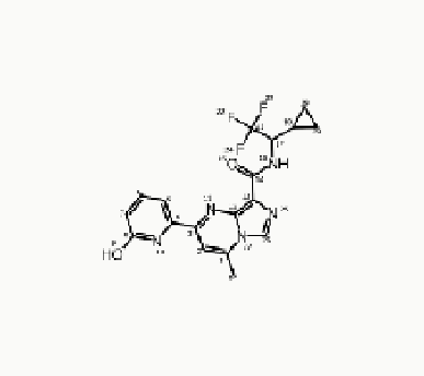 Cc1cc(-c2cccc(O)n2)nc2c(C(=O)NC(C3CC3)C(F)(F)F)ncn12